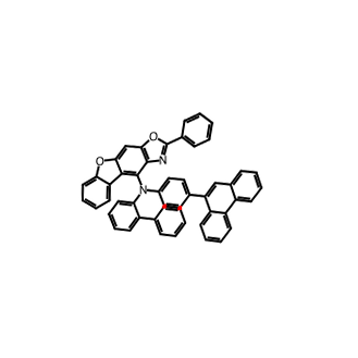 c1ccc(-c2nc3c(N(c4ccc(-c5cc6ccccc6c6ccccc56)cc4)c4ccccc4-c4ccccc4)c4c(cc3o2)oc2ccccc24)cc1